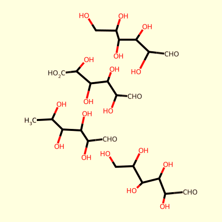 CC(O)C(O)C(O)C(O)C=O.O=CC(O)C(O)C(O)C(O)C(=O)O.O=CC(O)C(O)C(O)C(O)CO.O=CC(O)C(O)C(O)C(O)CO